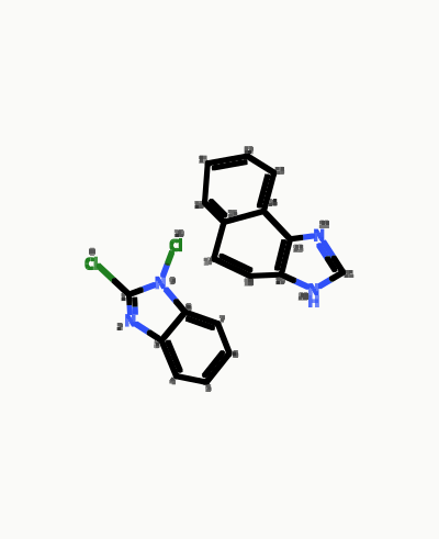 Clc1nc2ccccc2n1Cl.c1ccc2c(c1)ccc1[nH]cnc12